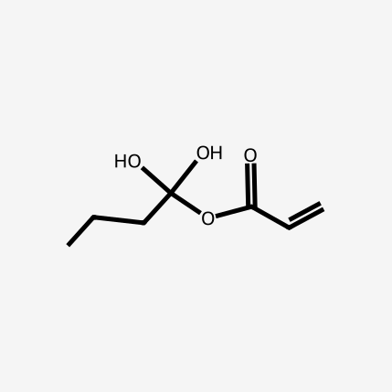 C=CC(=O)OC(O)(O)CCC